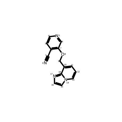 N#Cc1ccncc1OCc1cccn2ccnc12